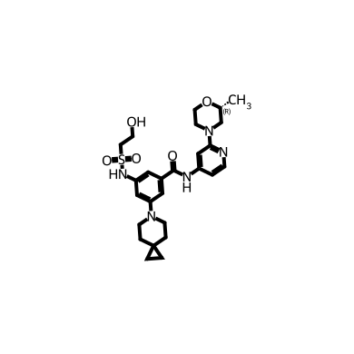 C[C@@H]1CN(c2cc(NC(=O)c3cc(NS(=O)(=O)CCO)cc(N4CCC5(CC4)CC5)c3)ccn2)CCO1